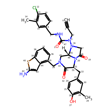 C#CCN(C(=O)NCc1ccc(Cl)c(C)c1)N1CC(=O)N2[C@@H](Cc3ccc(O)c(C)c3)C(=O)N(Cc3cccc4sc(N)cc34)C[C@@H]21